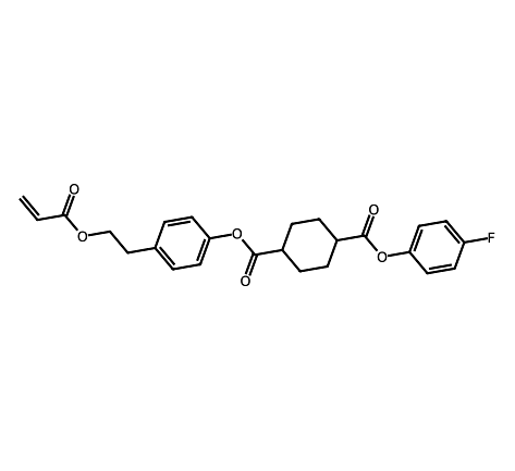 C=CC(=O)OCCc1ccc(OC(=O)C2CCC(C(=O)Oc3ccc(F)cc3)CC2)cc1